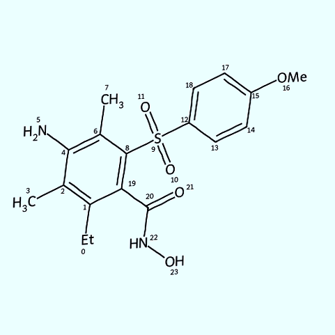 CCc1c(C)c(N)c(C)c(S(=O)(=O)c2ccc(OC)cc2)c1C(=O)NO